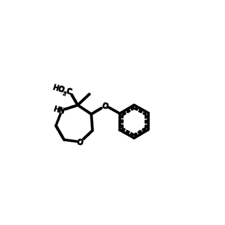 CC1(C(=O)O)NCCOCC1Oc1ccccc1